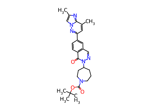 Cc1cn2nc(-c3ccc4c(=O)n(C5CCCN(C(=O)OC(C)(C)C)CC5)ncc4c3)cc(C)c2n1